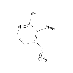 C=Cc1ccnc(C(C)C)c1NC